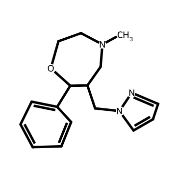 CN1CCOC(c2ccccc2)C(Cn2cccn2)C1